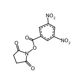 O=C(ON1C(=O)CCC1=O)c1cc([N+](=O)[O-])cc([N+](=O)[O-])c1